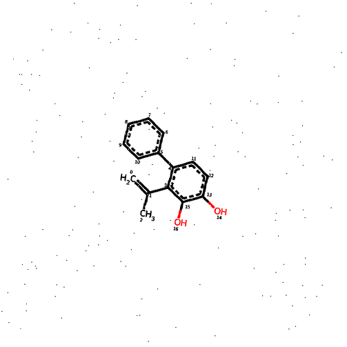 C=C(C)c1c(-c2ccccc2)ccc(O)c1O